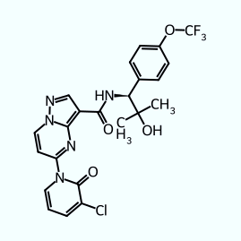 CC(C)(O)[C@@H](NC(=O)c1cnn2ccc(-n3cccc(Cl)c3=O)nc12)c1ccc(OC(F)(F)F)cc1